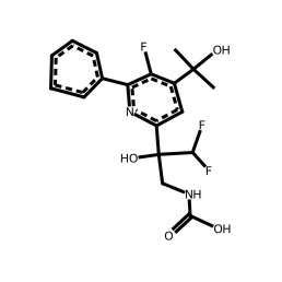 CC(C)(O)c1cc(C(O)(CNC(=O)O)C(F)F)nc(-c2ccccc2)c1F